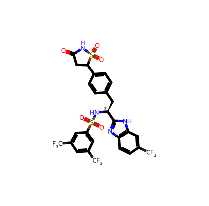 O=C1CC(c2ccc(C[C@H](NS(=O)(=O)c3cc(C(F)(F)F)cc(C(F)(F)F)c3)c3nc4ccc(C(F)(F)F)cc4[nH]3)cc2)S(=O)(=O)N1